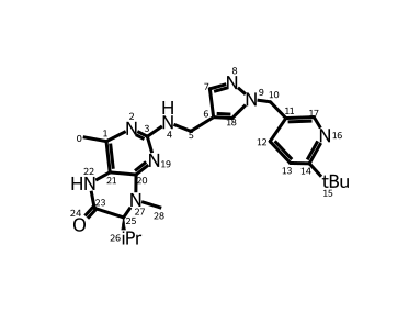 Cc1nc(NCc2cnn(Cc3ccc(C(C)(C)C)nc3)c2)nc2c1NC(=O)[C@H](C(C)C)N2C